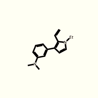 C=Cc1c(-c2cccc(N(C)C)c2)ccn1CC